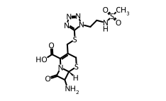 CS(=O)(=O)NCCn1nnnc1SCC1=C(C(=O)O)N2C(=O)C(N)[C@H]2SC1